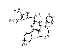 CCOC(=O)c1sc(N(C)c2nc(N3CCC(O)CC3)c3c(n2)N(c2ccco2)CCCC3)nc1C